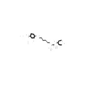 N#CN/C(=N\c1ccncc1)NCCCCCCOc1ccc([N+](=O)[O-])cc1OC(F)(F)F